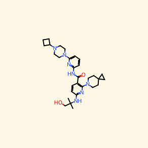 CC(C)(CO)Nc1ccc(C(=O)Nc2cccc(N3CCN(C4CCC4)CC3)n2)c(N2CCC3(CC2)CC3)n1